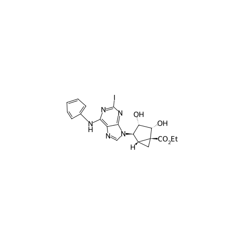 CCOC(=O)[C@@]12C[C@@H]1[C@@H](n1cnc3c(Nc4ccccc4)nc(I)nc31)[C@H](O)[C@@H]2O